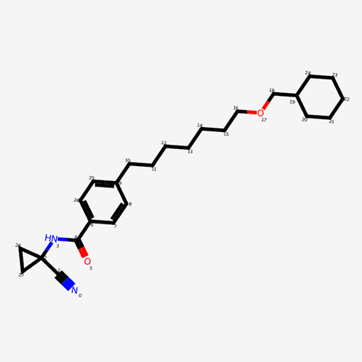 N#CC1(NC(=O)c2ccc(CCCCCCCOCC3CCCCC3)cc2)CC1